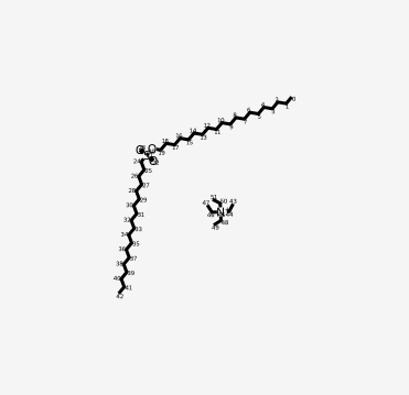 CCCCCCCCCCCCCCCCCCCCOS(=O)(=O)CCCCCCCCCCCCCCCCCCC.CC[N+](CC)(CC)CC